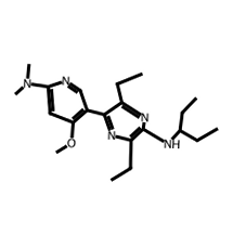 CCc1nc(-c2cnc(N(C)C)cc2OC)c(CC)nc1NC(CC)CC